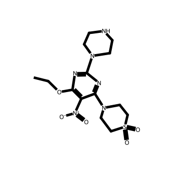 CCOc1nc(N2CCNCC2)nc(N2CCS(=O)(=O)CC2)c1[N+](=O)[O-]